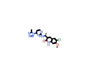 COc1cc2[nH]c(=O)c([C@H](C)Nc3nccc(-n4nnnc4C)n3)cc2cc1Cl